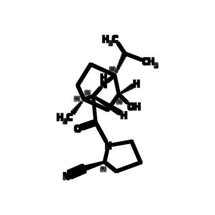 CC(C)[C@]12CC[C@](C)(C[C@@H]1O)[C@@H](C(=O)N1CCC[C@H]1C#N)N2